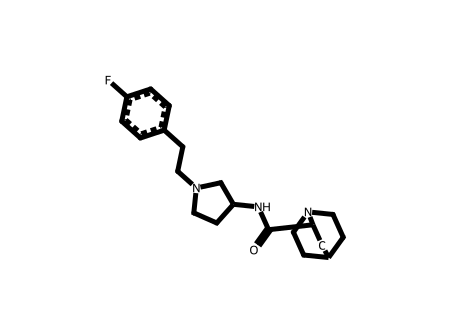 O=C(NC1CCN(CCc2ccc(F)cc2)C1)C1CC2CCN1CC2